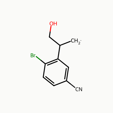 [CH2]C(CO)c1cc(C#N)ccc1Br